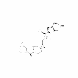 C=N/C=C\c1cc(C(=O)NCC2CC23CCN(C(=O)C2CN(C)CCO2)CC3)oc1C